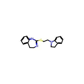 c1ccc2c(c1)CCN=C(SCCN1CCc3ccccc31)N2